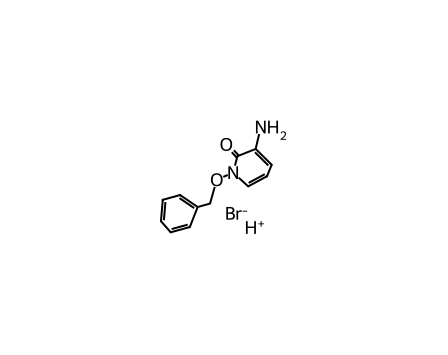 Nc1cccn(OCc2ccccc2)c1=O.[Br-].[H+]